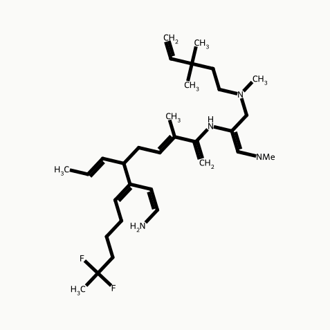 C=CC(C)(C)CCN(C)C/C(=C\NC)NC(=C)/C(C)=C/CC(C=CC)C(/C=C\N)=C/CCCC(C)(F)F